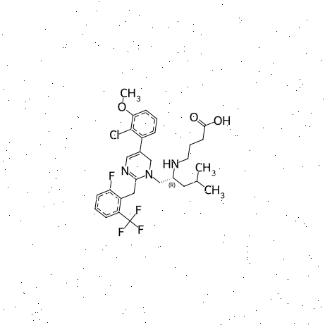 COc1cccc(C2=CN=C(Cc3c(F)cccc3C(F)(F)F)N(C[C@@H](CC(C)C)NCCCC(=O)O)C2)c1Cl